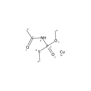 COP(=O)(NC(C)=O)SC.[Cu]